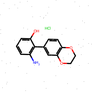 Cl.Nc1cccc(O)c1-c1ccc2c(c1)OCCO2